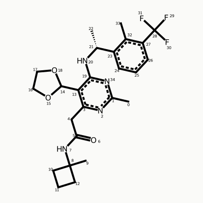 Cc1nc(CC(=O)NC2(C)CCC2)c(C2OCCO2)c(N[C@H](C)c2cccc(C(F)(F)F)c2C)n1